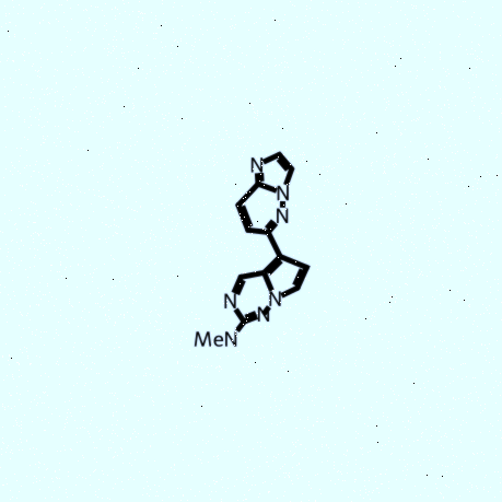 CNc1ncc2c(-c3ccc4nccn4n3)ccn2n1